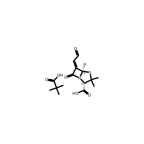 CC(C)(C)C(=O)O.CC1(C)S[C@@H]2C(=CC=O)C(=O)N2[C@H]1C(=O)O